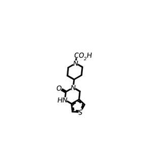 O=C(O)N1CCC(N2Cc3cscc3NC2=O)CC1